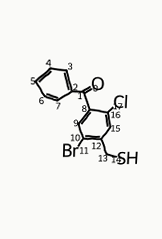 O=C(c1ccccc1)c1cc(Br)c(CS)cc1Cl